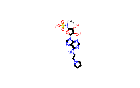 CN([C@@H]1O[C@@H](n2cnc3c(NCCN4CCCC4)ncnc32)[C@H](O)[C@@H]1O)S(=O)(=O)O